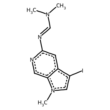 CN(C)C=Nc1cc2c(I)cn(C)c2cn1